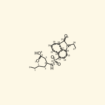 CCCCC(CC(=O)O)NS(=O)(=O)c1ccc2c3c(cccc13)C(=O)N2CC